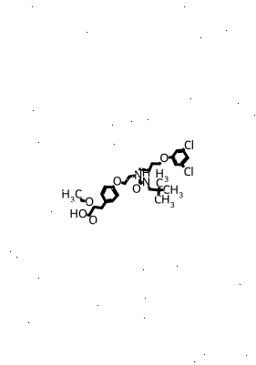 CCOC(Cc1ccc(OCCN(CCCCOc2cc(Cl)cc(Cl)c2)C(=O)NCC(C)(C)C)cc1)C(=O)O